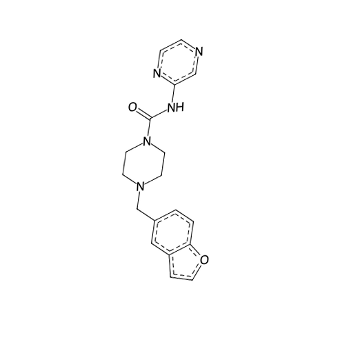 O=C(Nc1cnccn1)N1CCN(Cc2ccc3occc3c2)CC1